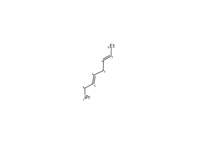 CCC=CCC=CCC(C)C